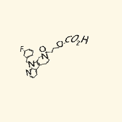 O=C(O)COCCCC(=O)N1CCc2c(n(Cc3cccc(F)c3)c3ncccc23)C1